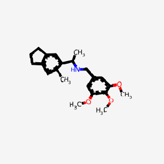 COc1cc(CNC(C)c2cc3c(cc2C)CCC3)cc(OC)c1OC